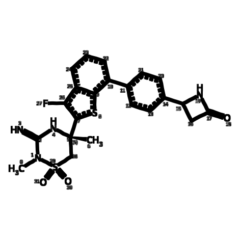 CN1C(=N)N[C@](C)(c2sc3c(-c4ccc(C5CC(=O)N5)cc4)cccc3c2F)CS1(=O)=O